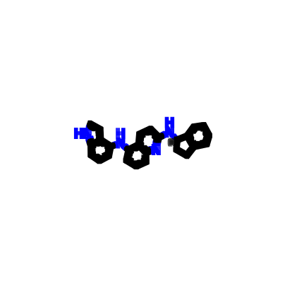 c1ccc2c(c1)CC[C@H]2Nc1ccc2c(Nc3cccc4[nH]ccc34)cccc2n1